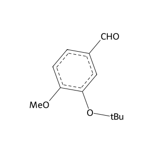 COc1ccc(C=O)cc1OC(C)(C)C